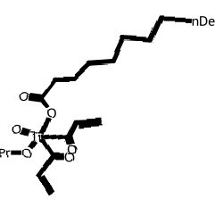 C=C[C](=O)[Ti](=[O])([O]C(=O)CCCCCCCCCCCCCCCCC)([O]C(C)C)[C](=O)C=C